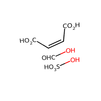 O=C(O)/C=C\C(=O)O.O=CO.O=S(=O)(O)O